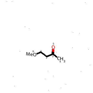 COC[CH]C(C)=O